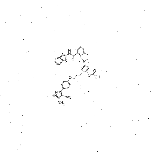 N#Cc1c(-c2ccc(OCCCc3sc(N4CCc5cccc(C(=O)Nc6nc7ccccc7s6)c5C4)nc3OC(=O)O)cc2)n[nH]c1N